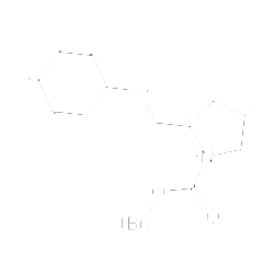 CC(C)(C)OC(=O)N1CCCC1COC1CCCCC1